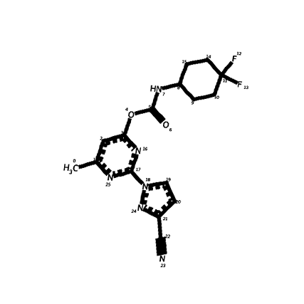 Cc1cc(OC(=O)NC2CCC(F)(F)CC2)nc(-n2ccc(C#N)n2)n1